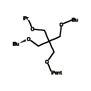 CCCC(C)OCC(COC(C)C)(COC(C)CC)CO[C@@H](C)CC